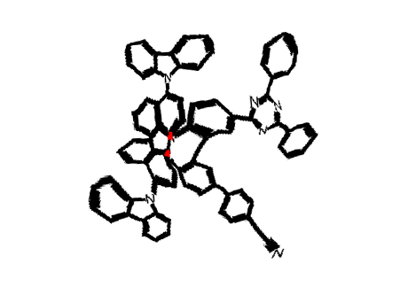 N#Cc1ccc(-c2ccc(-n3c4ccccc4c4cc(-n5c6ccccc6c6ccccc65)ccc43)c(-c3cc(-c4nc(-c5ccccc5)nc(-c5ccccc5)n4)ccc3-n3c4ccccc4c4cc(-n5c6ccccc6c6ccccc65)ccc43)c2)cc1